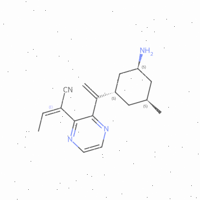 C=C(c1nccnc1/C(C#N)=C\C)[C@H]1C[C@H](C)C[C@H](N)C1